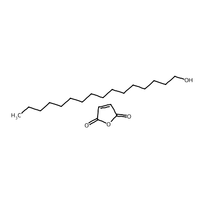 CCCCCCCCCCCCCCCCO.O=C1C=CC(=O)O1